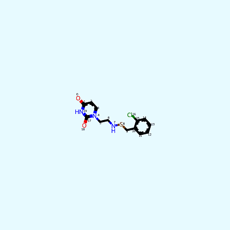 O=c1ccn(CCNSCc2ccccc2Cl)c(=O)[nH]1